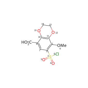 COc1c(S(=O)(=O)Cl)cc(C(=O)O)c2c1OCCO2